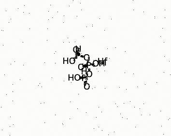 O=[PH](O)OP(=O)(O)O[PH](=O)O.[Hf]